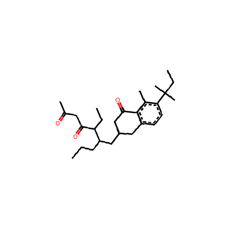 CCCC(CC1CC(=O)c2c(ccc(C(C)(C)CC)c2C)C1)C(CC)C(=O)CC(C)=O